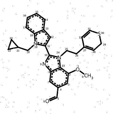 COc1cc(C=O)cc2nc(-c3cc4ccccc4n3CC3CC3)n(CCC3=CCSC=C3)c12